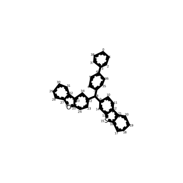 c1ccc(-c2ccc(C(c3ccc4c(c3)sc3ccccc34)c3ccc4oc5ccccc5c4c3)cc2)cc1